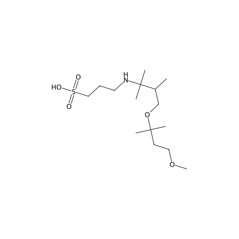 COCCC(C)(C)OCC(C)C(C)(C)NCCCS(=O)(=O)O